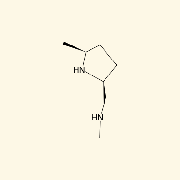 CNC[C@@H]1CC[C@H](C)N1